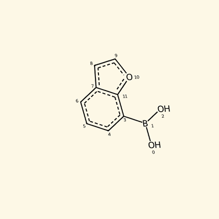 OB(O)c1cccc2ccoc12